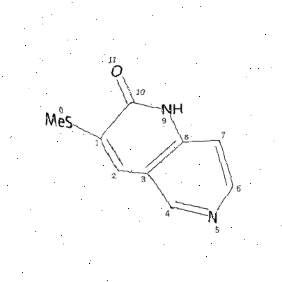 CSc1cc2cnccc2[nH]c1=O